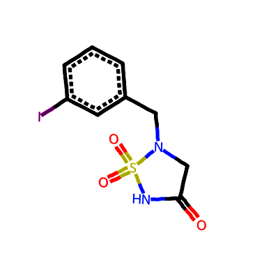 O=C1CN(Cc2cccc(I)c2)S(=O)(=O)N1